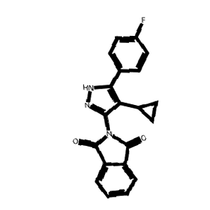 O=C1c2ccccc2C(=O)N1c1n[nH]c(-c2ccc(F)cc2)c1C1CC1